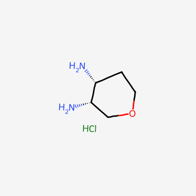 Cl.N[C@@H]1CCOC[C@@H]1N